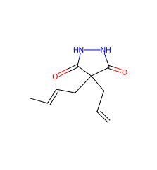 C=CCC1(C/C=C/C)C(=O)NNC1=O